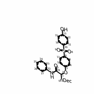 CCCCCCCCCCC(Oc1ccc(S(=O)(=O)c2ccc(O)cc2)cc1)C(=O)Nc1[c]cccc1